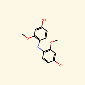 COc1cc(O)ccc1Nc1ccc(O)cc1OC